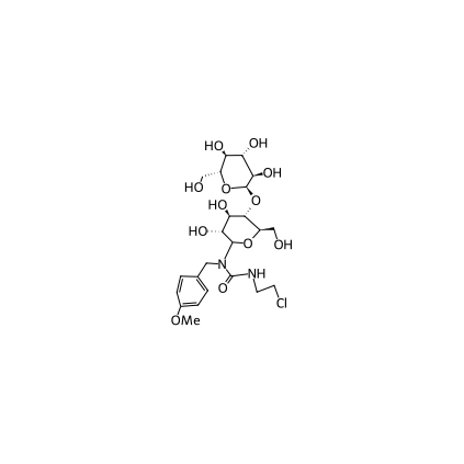 COc1ccc(CN(C(=O)NCCCl)C2O[C@H](CO)[C@@H](O[C@H]3O[C@H](CO)[C@@H](O)[C@H](O)[C@H]3O)[C@H](O)[C@H]2O)cc1